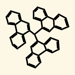 c1ccc2c(c1)cc([C](c1cc3ccccc3c3ccccc13)c1cc3ccccc3c3ccccc13)c1ccccc12